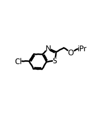 CC(C)OCc1nc2cc(Cl)ccc2s1